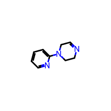 C1=NCCN(c2ccccn2)C1